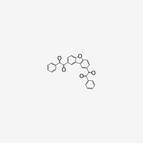 O=C(C(=O)c1ccc2oc3ccc(C(=O)C(=O)c4ccccc4)cc3c2c1)c1ccccc1